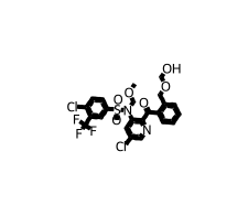 COCN(c1cc(Cl)cnc1C(=O)c1ccccc1COCO)S(=O)(=O)c1ccc(Cl)c(C(F)(F)F)c1